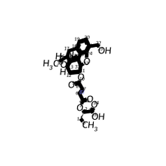 CC[C@H](OC(=O)/C=C/C(=O)OC1=CC[C@@]2(O)[C@H]3Cc4ccc(CO)c5c4C2(CCN3C)C1O5)C(=O)O